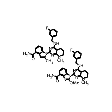 COc1nc2c(C(N)=O)cccc2n1-c1nc(NCc2cccc(F)c2)c2c(n1)N(C)CCC2.Cc1cc2c(C(N)=O)cccc2n1-c1nc(NCc2cccc(F)c2)c2c(n1)N(C)CCC2